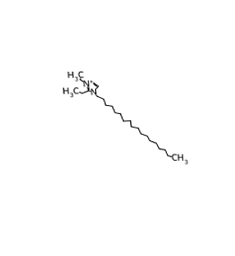 CCCCCCCCCCCCCCCCCCn1cc[n+](CC)c1CC